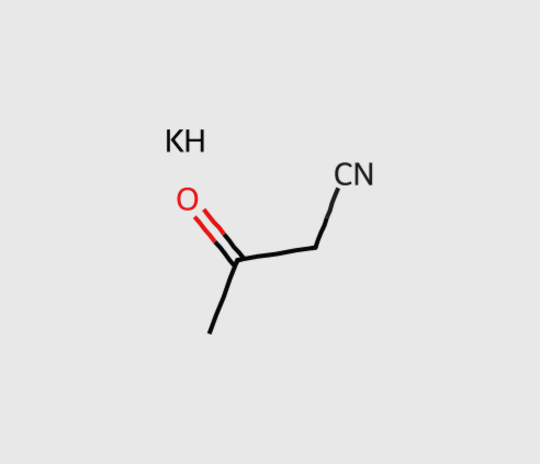 CC(=O)CC#N.[KH]